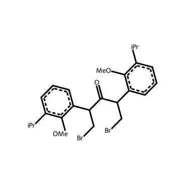 COc1c(C(C)C)cccc1C(CBr)C(=O)C(CBr)c1cccc(C(C)C)c1OC